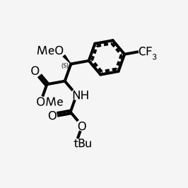 COC(=O)C(NC(=O)OC(C)(C)C)[C@@H](OC)c1ccc(C(F)(F)F)cc1